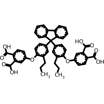 CCCc1cc(C2(c3ccc(Oc4ccc(C(=O)O)c(C(=O)O)c4)c(CCC)c3)c3ccccc3-c3ccccc32)ccc1Oc1ccc(C(=O)O)c(C(=O)O)c1